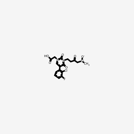 C[S+]([O-])CC(=O)CCn1c(=O)c(-c2cccc(F)c2Cl)cn(CC(=O)O)c1=O